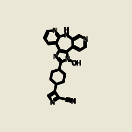 N#CC1=NC=C1C1CCC(c2nc3c(n2O)-c2ccncc2Nc2ncccc2-3)CC1